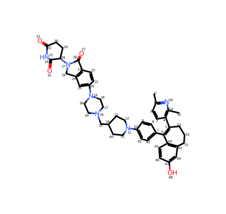 Cc1ccc(C2=C(c3ccc(N4CCC(CN5CCN(c6ccc7c(c6)CN([C@@H]6CCC(=O)NC6=O)C7=O)CC5)CC4)cc3)c3ccc(O)cc3CCC2)c(C)n1